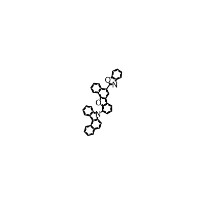 c1ccc2c(c1)ccc1c2c2ccccc2n1-c1cccc2c1oc1c3ccccc3c(-c3nc4ccccc4o3)cc21